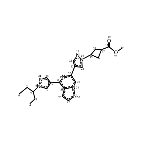 CCC(CC)n1cc(-c2nc(-c3cnn(C4CC(C(=O)OC)C4)c3)cn3nccc23)cn1